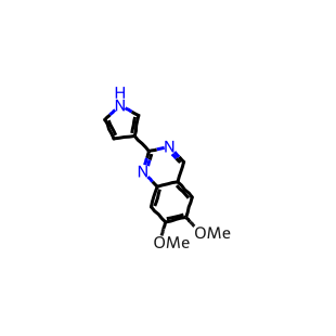 COc1cc2cnc(-c3cc[nH]c3)nc2cc1OC